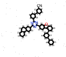 N#Cc1cccc(-c2cccc(-c3nc(-c4ccc5c(ccc6ccccc65)c4)nc(-c4ccc5c(c4)oc4cccc(-c6cccc(-c7ccccc7)c6)c45)n3)c2)c1